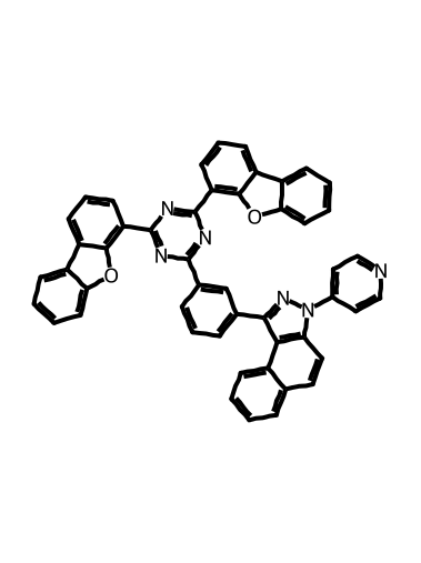 c1cc(-c2nc(-c3cccc4c3oc3ccccc34)nc(-c3cccc4c3oc3ccccc34)n2)cc(-c2nn(-c3ccncc3)c3ccc4ccccc4c23)c1